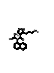 CCCCc1[nH]ncc1C(=O)N(C(=N)N)c1cccc2ncccc12